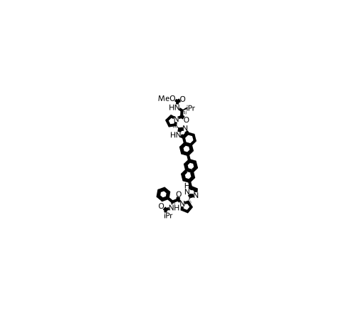 COC(=O)N[C@H](C(=O)N1CCC[C@H]1c1nc2c([nH]1)-c1ccc(-c3ccc4cc(-c5cnc([C@@H]6CCCN6C(=O)[C@H](NC(=O)C(C)C)c6ccccc6)[nH]5)ccc4c3)cc1CC2)C(C)C